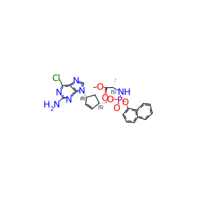 COC(=O)[C@H](C)NP(=O)(OC[C@@H]1C=C[C@H](n2cnc3c(Cl)nc(N)nc32)C1)Oc1cccc2ccccc12